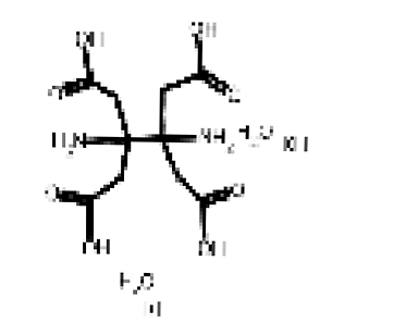 NC(CC(=O)O)(CC(=O)O)C(N)(CC(=O)O)CC(=O)O.O.O.[KH].[KH]